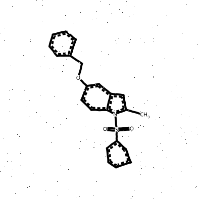 Cc1cc2cc(OCc3ccccc3)ccc2n1S(=O)(=O)c1ccccc1